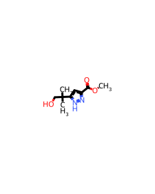 COC(=O)c1cc(C(C)(C)CO)[nH]n1